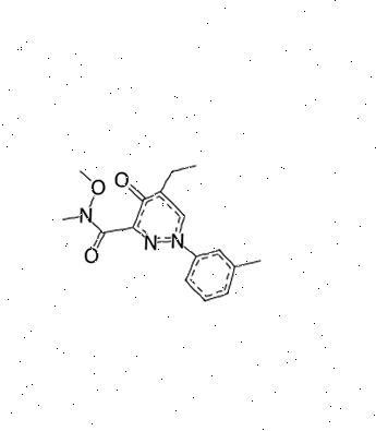 CCc1cn(-c2cccc(C)c2)nc(C(=O)N(C)OC)c1=O